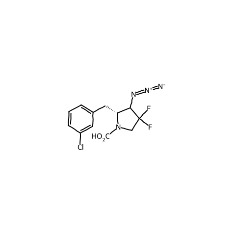 [N-]=[N+]=NC1[C@@H](Cc2cccc(Cl)c2)N(C(=O)O)CC1(F)F